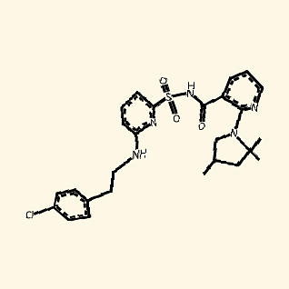 CC1CN(c2ncccc2C(=O)NS(=O)(=O)c2cccc(NCCc3ccc(Cl)cc3)n2)C(C)(C)C1